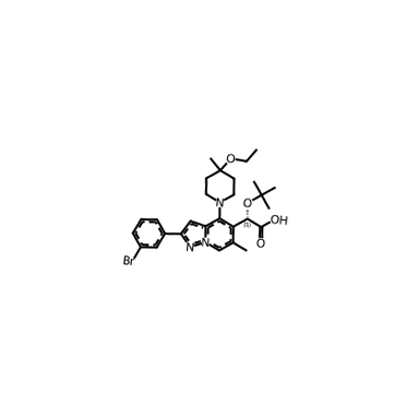 CCOC1(C)CCN(c2c([C@H](OC(C)(C)C)C(=O)O)c(C)cn3nc(-c4cccc(Br)c4)cc23)CC1